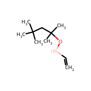 C=CBOC(C)(C)CC(C)(C)C